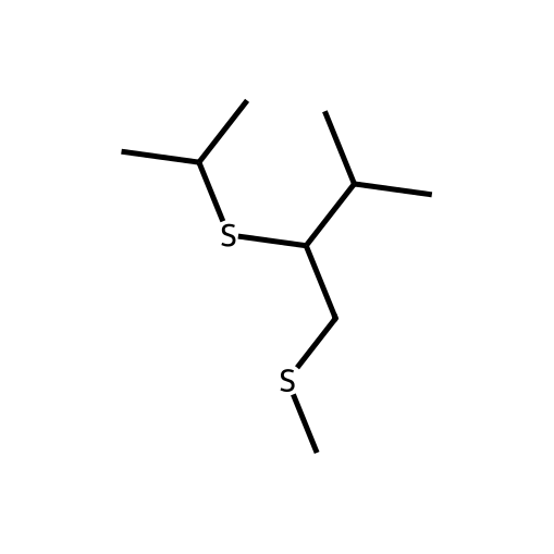 CSCC(SC(C)C)C(C)C